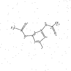 Cc1cc(OC(=O)C(F)(F)F)cc(OC(=O)C(F)(F)F)c1